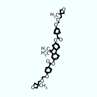 CC1(COCOc2ccc(C(=O)Oc3ccc4c(c3)C(C)(C)c3cc(OC(=O)c5ccc(OCOCC6(C)COC6)cc5)ccc3-4)cc2)COC1